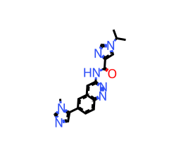 CC(C)n1cnc(C(=O)Nc2cc3cc(-c4cncn4C)ccc3nn2)c1